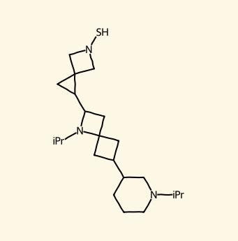 CC(C)N1CCCC(C2CC3(C2)CC(C2CC24CN(S)C4)N3C(C)C)C1